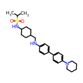 CC(C)S(=O)(=O)NC1CCC(CNc2ccc(-c3ccc(N4CCCCC4)cc3)cc2)CC1